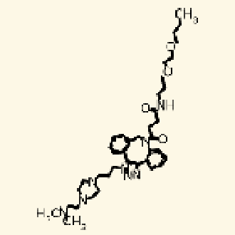 CCCCOCCOCCCNC(=O)CCC(=O)N1Cc2ccccc2-c2c(nnn2CCCN2CCN(CCN(C)C)CC2)-c2ccccc21